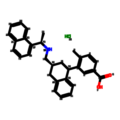 Cc1ccc(C(=O)O)cc1C1C[C@H](CN[C@H](C)c2cccc3ccccc23)Cc2ccccc21.Cl